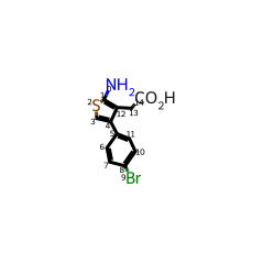 Nc1scc(-c2ccc(Br)cc2)c1CC(=O)O